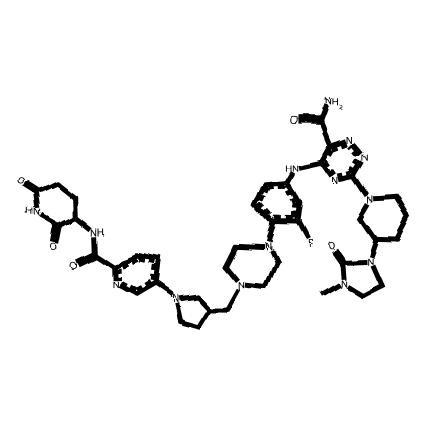 CN1CCN(C2CCCN(c3nnc(C(N)=O)c(Nc4ccc(N5CCN(CC6CCN(c7ccc(C(=O)NC8CCC(=O)NC8=O)nc7)C6)CC5)c(F)c4)n3)C2)C1=O